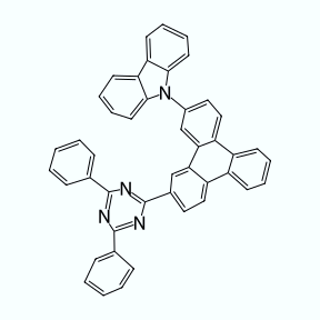 c1ccc(-c2nc(-c3ccccc3)nc(-c3ccc4c5ccccc5c5ccc(-n6c7ccccc7c7ccccc76)cc5c4c3)n2)cc1